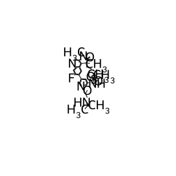 CCC[C@@]1(C)C(=O)N(C)c2cnc3cc(F)c(-c4cnc(OCCNC(C)C)c(NS(C)(=O)=O)c4)cc3c21